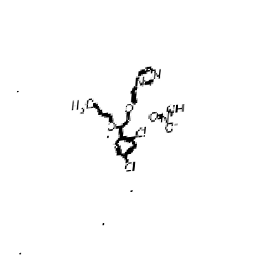 CCCCOC(COC=Cn1ccnc1)c1ccc(Cl)cc1Cl.O=[N+]([O-])O